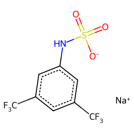 O=S(=O)([O-])Nc1cc(C(F)(F)F)cc(C(F)(F)F)c1.[Na+]